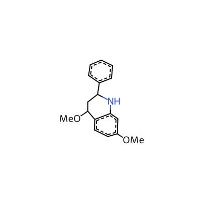 COc1ccc2c(c1)NC(c1ccccc1)CC2OC